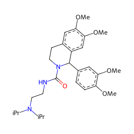 COc1ccc(C2c3cc(OC)c(OC)cc3CCN2C(=O)NCCN(C(C)C)C(C)C)cc1OC